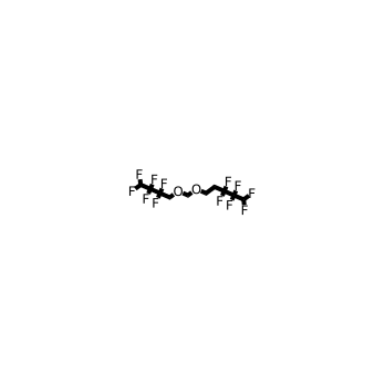 FC(F)C(F)(F)C(F)(F)CCOCOCC(F)(F)C(F)(F)C(F)F